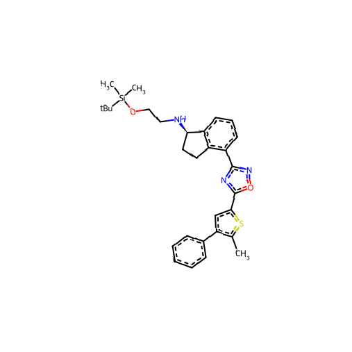 Cc1sc(-c2nc(-c3cccc4c3CC[C@H]4NCCO[Si](C)(C)C(C)(C)C)no2)cc1-c1ccccc1